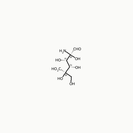 N[C@](O)(C=O)[C@@H](O)[C@H](O)[C@](O)(CO)C(=O)O